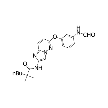 CCCCC(C)(C)C(=O)Nc1cn2nc(Oc3cccc(NC=O)c3)ccc2n1